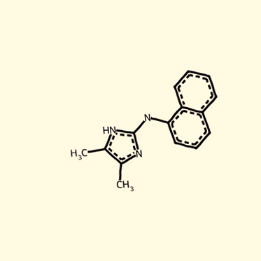 Cc1nc([N]c2cccc3ccccc23)[nH]c1C